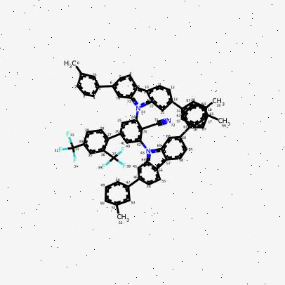 Cc1cccc(-c2ccc3c4ccc(-c5cccc(C)c5)cc4n(-c4cc(-c5ccc(C(F)(F)F)cc5C(F)(F)F)cc(-n5c6cc(-c7cccc(C)c7)ccc6c6ccc(-c7cccc(C)c7)cc65)c4C#N)c3c2)c1